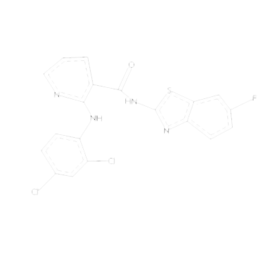 O=C(Nc1nc2ccc(F)cc2s1)c1cccnc1Nc1ccc(Cl)cc1Cl